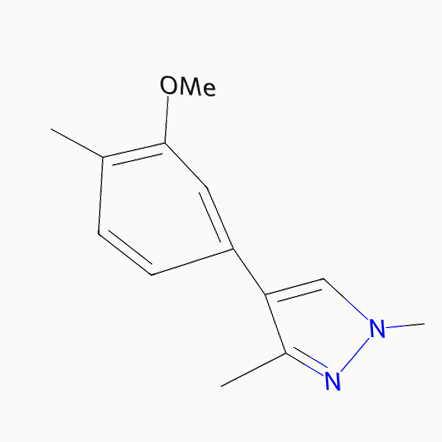 COc1cc(-c2cn(C)nc2C)ccc1C